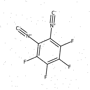 [C-]#[N+]c1c(F)c(F)c(F)c(F)c1[N+]#[C-]